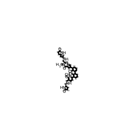 COc1nc(-c2cccc(-c3cccc(-c4cc5c(=O)n(C)c(CN[C@H]6C[C@@]7(CCC(=O)N7)C6)nn5c4)c3Cl)c2Cl)ccc1CNC[C@H]1CCC(=O)N1